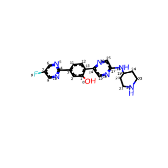 Oc1cc(-c2ncc(F)cn2)ccc1-c1cnc(NC2CCNCC2)cn1